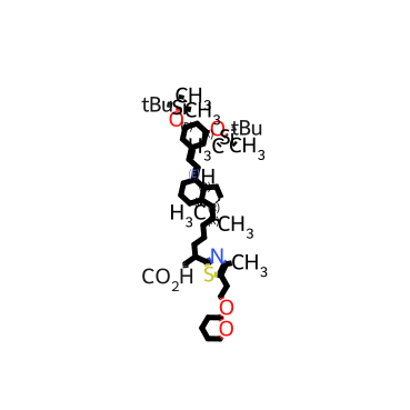 Cc1nc(C(CCC[C@@H](C)[C@H]2CC[C@H]3/C(=C/C=C4C[C@@H](O[Si](C)(C)C(C)(C)C)C[C@H](O[Si](C)(C)C(C)(C)C)C4)CCC[C@]23C)CC(=O)O)sc1CCOC1CCCCO1